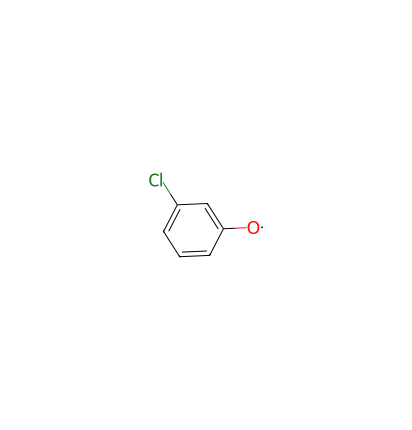 [O]c1cccc(Cl)c1